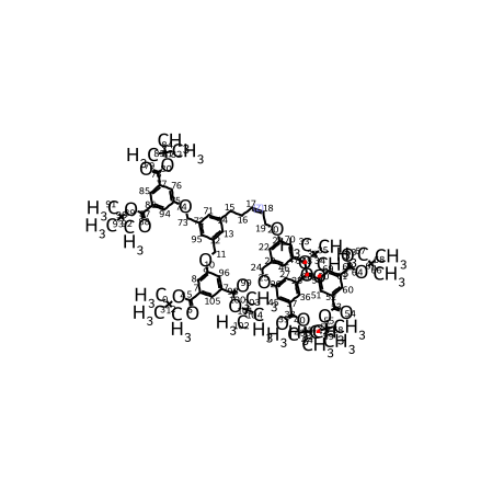 CC(C)(C)OC(=O)c1cc(OCc2cc(CC/C=C\COc3cc(COc4cc(C(=O)OC(C)(C)C)cc(C(=O)OC(C)(C)C)c4)cc(COc4cc(C(=O)OC(C)(C)C)cc(C(=O)OC(C)(C)C)c4)c3)cc(COc3cc(C(=O)OC(C)(C)C)cc(C(=O)OC(C)(C)C)c3)c2)cc(C(=O)OC(C)(C)C)c1